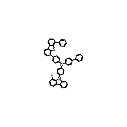 Fc1cccc2c3ccccc3n(-c3ccc(N(c4ccc(-c5ccccc5)cc4)c4ccc(-c5cccc6c5sc5c(-c7ccccc7)cccc56)cc4)cc3)c12